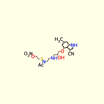 CC(=O)N(CCNCC(O)COc1cc(C)cc2[nH]cc(C#N)c12)SCCO[N+](=O)[O-]